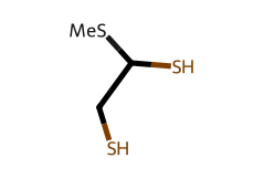 CSC(S)CS